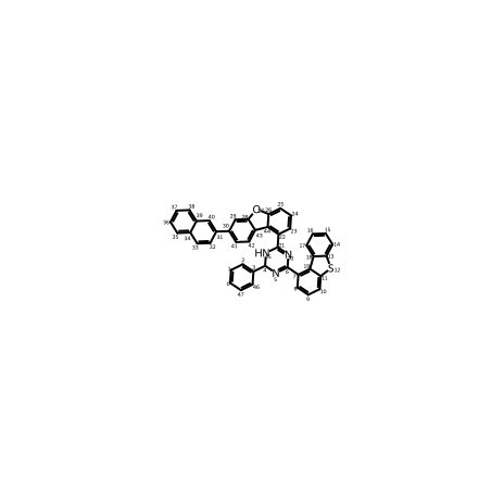 c1ccc(C2N=C(c3cccc4sc5ccccc5c34)N=C(c3cccc4oc5cc(-c6ccc7ccccc7c6)ccc5c34)N2)cc1